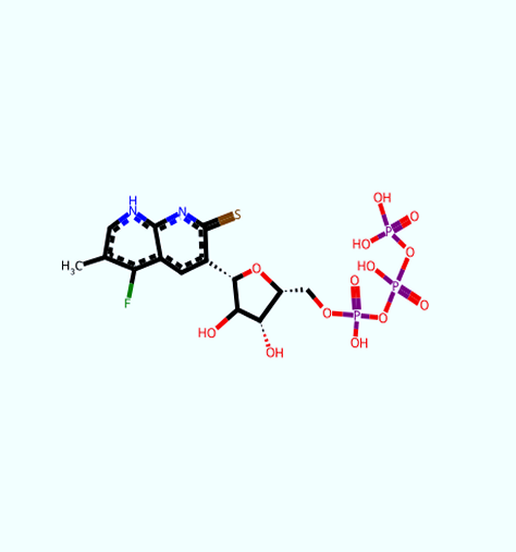 Cc1c[nH]c2nc(=S)c([C@@H]3O[C@H](COP(=O)(O)OP(=O)(O)OP(=O)(O)O)[C@H](O)C3O)cc-2c1F